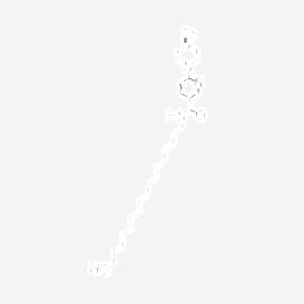 CCN1CCN(c2ccc(C(=O)NCCCCCCCCCCCCCCCCCO)cn2)CC1